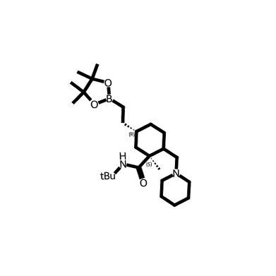 CC(C)(C)NC(=O)[C@@]1(C)C[C@H](CCB2OC(C)(C)C(C)(C)O2)CCC1CN1CCCCC1